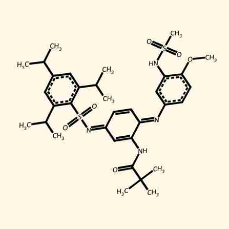 COc1ccc(N=C2C=CC(=NS(=O)(=O)c3c(C(C)C)cc(C(C)C)cc3C(C)C)C=C2NC(=O)C(C)(C)C)cc1NS(C)(=O)=O